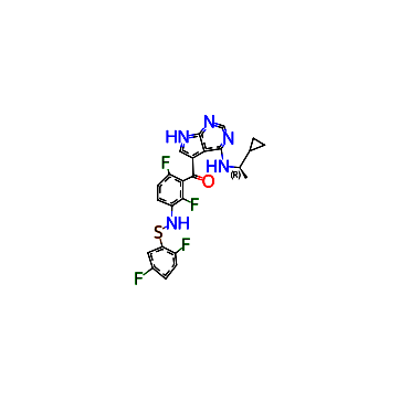 C[C@@H](Nc1ncnc2[nH]cc(C(=O)c3c(F)ccc(NSc4cc(F)ccc4F)c3F)c12)C1CC1